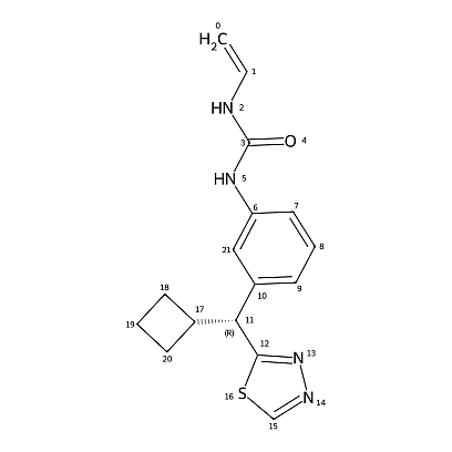 C=CNC(=O)Nc1cccc([C@H](c2nncs2)C2CCC2)c1